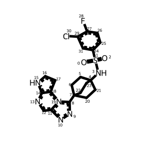 O=S(=O)(NC12CCC(c3nnc4cnc5[nH]ccc5n34)(CC1)CC2)c1ccc(F)c(Cl)c1